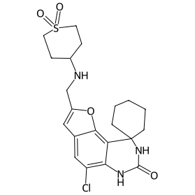 O=C1Nc2c(Cl)cc3cc(CNC4CCS(=O)(=O)CC4)oc3c2C2(CCCCC2)N1